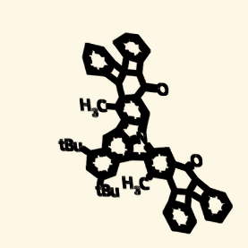 Cc1c2c(cc3c1c1cc4c(C(C)(C)C)cc(C(C)(C)C)cc4c4c5c(C)c6c(cc5n3c14)C(=O)C1c3ccccc3C13c1ccccc1C63)C(=O)C1c3ccccc3C13c1ccccc1C23